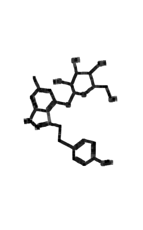 COc1ccc(CCc2n[nH]c3cc(C)cc(OC4OC(CO)C(O)C(O)C4O)c23)cc1